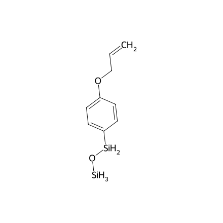 C=CCOc1ccc([SiH2]O[SiH3])cc1